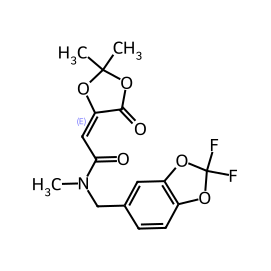 CN(Cc1ccc2c(c1)OC(F)(F)O2)C(=O)/C=C1/OC(C)(C)OC1=O